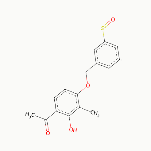 CC(=O)c1ccc(OCc2c[c]cc([S+]=O)c2)c(C)c1O